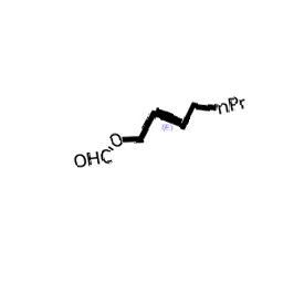 CCCC/C=C/COC=O